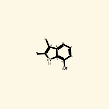 Cc1[nH]c2c(Br)cccc2c1C